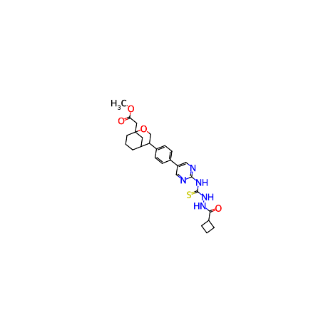 COC(=O)CC12CCCC(C1)C(c1ccc(-c3cnc(NC(=S)NNC(=O)C4CCC4)nc3)cc1)CO2